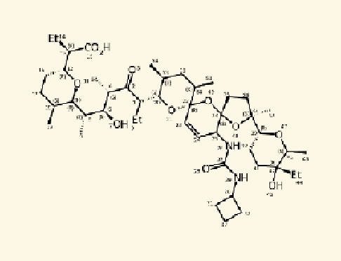 CCC(C(=O)[C@@H](C)[C@@H](O)[C@H](C)[C@@H]1O[C@@H]([C@@H](CC)C(=O)O)CC[C@@H]1C)[C@H]1O[C@]2(C=CC(NC(=O)NC3CCC3)[C@]3(CC[C@@](C)([C@H]4CC[C@](O)(CC)[C@H](C)O4)O3)O2)[C@H](C)C[C@@H]1C